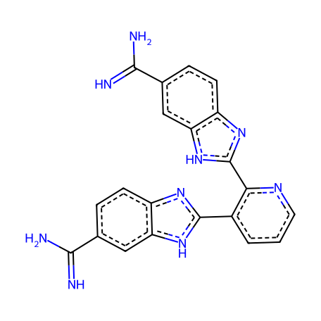 N=C(N)c1ccc2nc(-c3cccnc3-c3nc4ccc(C(=N)N)cc4[nH]3)[nH]c2c1